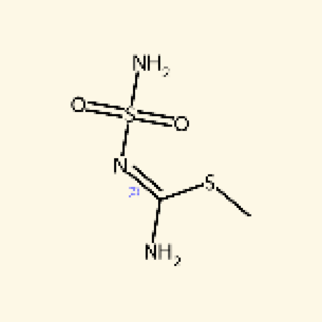 CS/C(N)=N\S(N)(=O)=O